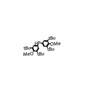 COc1c(C(C)(C)C)cc(Pc2cc(C(C)(C)C)c(OC)c(C(C)(C)C)c2)cc1C(C)(C)C